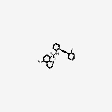 COc1ccc(S(=O)(=O)Nc2ccccc2C#Cc2cnccc2Cl)c2ncccc12